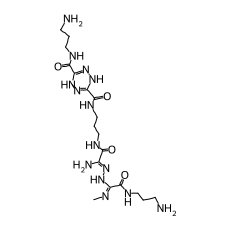 C/N=C(\N/N=C(\N)C(=O)NCCCNC(=O)C1=NNC(C(=O)NCCCN)=NN1)C(=O)NCCCN